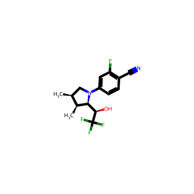 C[C@@H]1[C@H]([C@@H](O)C(F)(F)F)N(c2ccc(C#N)c(F)c2)C[C@@H]1C